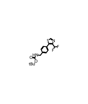 CC(C)(C)OC(=O)NCc1ccc(-c2scnc2C(F)F)cc1